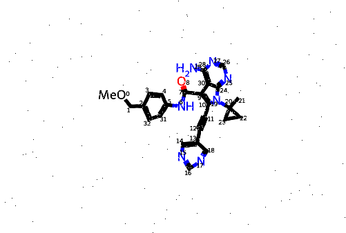 COCc1ccc(NC(=O)c2c(C#Cc3cncnc3)n(C3(C)CC3)c3ncnc(N)c23)cc1